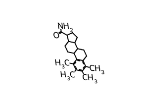 Cc1c(C)c(C)c2c(c1C)CCC1C2CCC2C(C(N)=O)CCC21